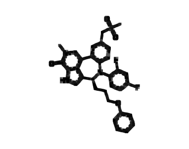 Cn1cc2c3c(c[nH]c3c1=O)[C@H](CCCOc1ccccc1)N(c1ccc(F)cc1F)c1ccc(CS(C)(=O)=O)cc1-2